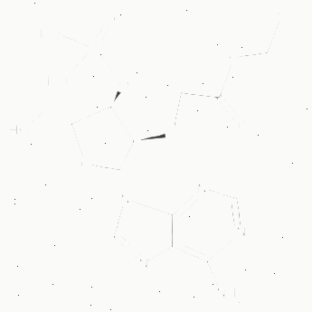 CCOC(=O)CO[C@@H]1[C@H](OP(=O)(O)O)[C@@H](CO)O[C@H]1n1cnc2c(N)ncnc21